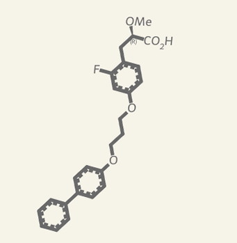 CO[C@H](Cc1ccc(OCCCOc2ccc(-c3ccccc3)cc2)cc1F)C(=O)O